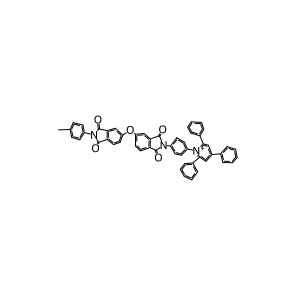 Cc1ccc(N2C(=O)c3ccc(Oc4ccc5c(c4)C(=O)N(c4ccc(-[n+]6c(-c7ccccc7)cc(-c7ccccc7)cc6-c6ccccc6)cc4)C5=O)cc3C2=O)cc1